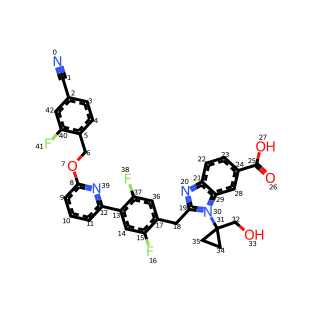 N#Cc1ccc(COc2cccc(-c3cc(F)c(Cc4nc5ccc(C(=O)O)cc5n4C4(CO)CC4)cc3F)n2)c(F)c1